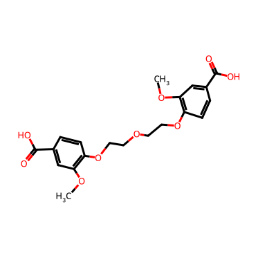 COc1cc(C(=O)O)ccc1OCCOCCOc1ccc(C(=O)O)cc1OC